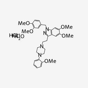 COc1ccc(Cn2nc(CCN3CCN(c4ccccc4OC)CC3)c3cc(OC)c(OC)cc32)cc1OC.Cl.Cl.O